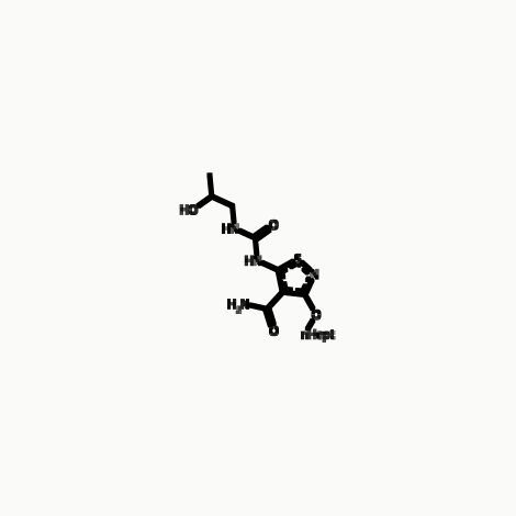 CCCCCCCOc1nsc(NC(=O)NCC(C)O)c1C(N)=O